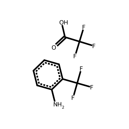 Nc1ccccc1C(F)(F)F.O=C(O)C(F)(F)F